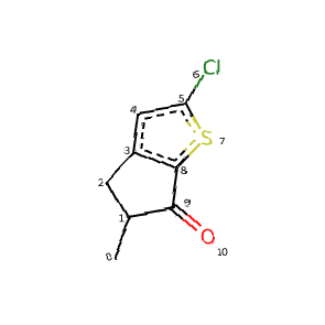 CC1Cc2cc(Cl)sc2C1=O